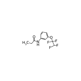 CCC(=O)Nc1cccc(OC(F)(F)C(F)F)c1